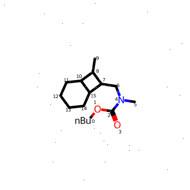 CCCCOC(=O)N(C)CC1C(C)C2CCCCC21